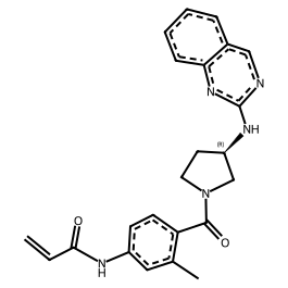 C=CC(=O)Nc1ccc(C(=O)N2CC[C@@H](Nc3ncc4ccccc4n3)C2)c(C)c1